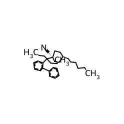 CCCCCC[C@H]1CC[C@@](C#N)(C(CCC)(CCC)c2ccccc2-c2ccccc2)CC1